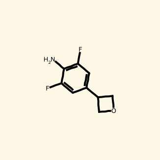 Nc1c(F)cc(C2COC2)cc1F